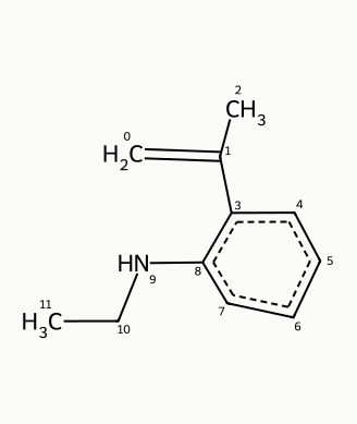 C=C(C)c1ccccc1NCC